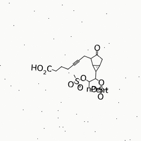 CCCCCC(OS(C)(=O)=O)C(OS(C)(=O)=O)C1C2CC(=O)C(CC#CCCCC(=O)O)C21